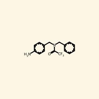 Nc1ccc(CN(Cc2ccccc2)C(=O)C(F)(F)F)cc1